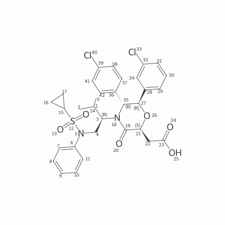 CC(C)[C@H](CN(c1ccccc1)S(=O)(=O)C1CC1)N1C(=O)[C@H](CC(=O)O)O[C@H](c2cccc(Cl)c2)[C@H]1c1ccc(Cl)cc1